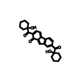 O=C1C(C(=O)C2(O)CCCCC2)=CC=C2C1=Cc1cc(C(=O)C3(O)CCCCC3)ccc12